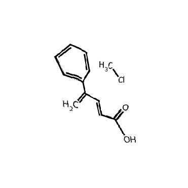 C=C(C=CC(=O)O)c1ccccc1.CCl